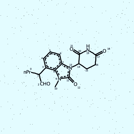 CCCC(C=O)c1cccc2c1n(C)c(=O)n2C1CCC(=O)NC1=O